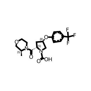 C[C@H]1COCCN1C(=O)[C@@H]1C[C@@H](Oc2ccc(C(F)(F)F)cc2)CN1C(=O)O